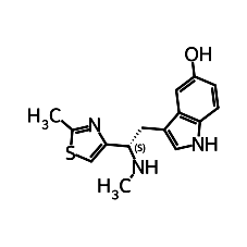 CN[C@@H](Cc1c[nH]c2ccc(O)cc12)c1csc(C)n1